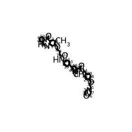 Cc1cc2c(cc1OCCCC(=O)Nc1ccc(-c3cc(C(=O)NCc4ccc(OCCN5CCOCC5)cc4)n(C)c3)cc1)N=C[C@@H]1CCCN1C2=O